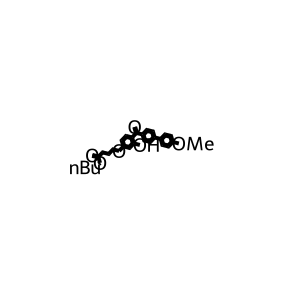 CCCCOC(=O)CCCOc1ccc(C(=O)c2ccc(-c3ccc(OC)cc3)cc2)c(O)c1